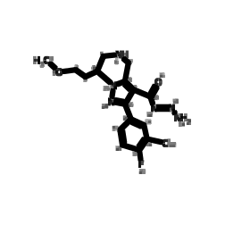 COCCC1CNCc2c(C(=O)N=NN)c(-c3ccc(F)c(Cl)c3)nn21